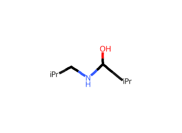 CC(C)CNC(O)C(C)C